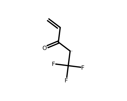 C=CC(=O)[CH]C(F)(F)F